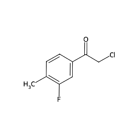 Cc1ccc(C(=O)CCl)cc1F